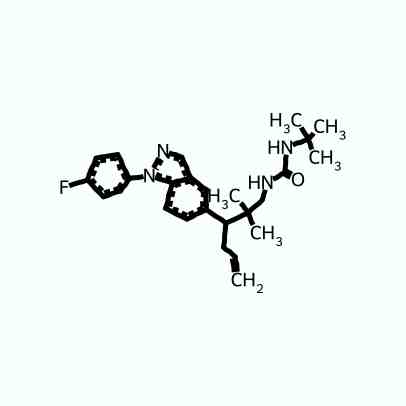 C=CCC(c1ccc2c(cnn2-c2ccc(F)cc2)c1)C(C)(C)CNC(=O)NC(C)(C)C